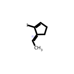 C/C=C1\CCC=C1I